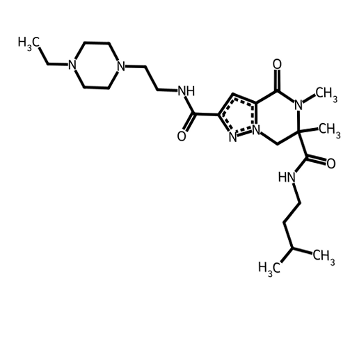 CCN1CCN(CCNC(=O)c2cc3n(n2)CC(C)(C(=O)NCCC(C)C)N(C)C3=O)CC1